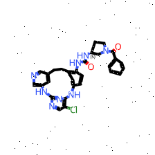 O=C(Nc1ccc2cc1CCc1cncc(c1)Nc1ncc(Cl)c(n1)N2)N[C@H]1CCN(C(=O)c2ccccc2)C1